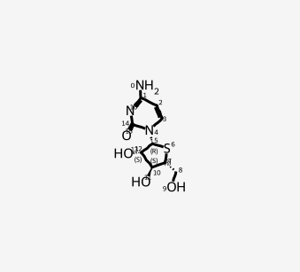 Nc1ccn([C@@H]2S[C@H](CO)[C@@H](O)[C@@H]2O)c(=O)n1